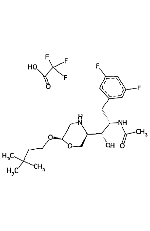 CC(=O)N[C@@H](Cc1cc(F)cc(F)c1)[C@H](O)[C@H]1CO[C@@H](OCCC(C)(C)C)CN1.O=C(O)C(F)(F)F